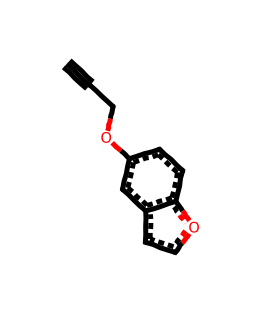 C#CCOc1ccc2occc2c1